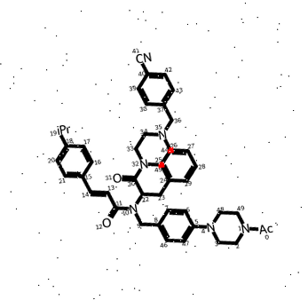 CC(=O)N1CCN(c2ccc(CN(C(=O)C=Cc3ccc(C(C)C)cc3)C(Cc3ccccc3)C(=O)N3CCN(Cc4ccc(C#N)cc4)CC3)cc2)CC1